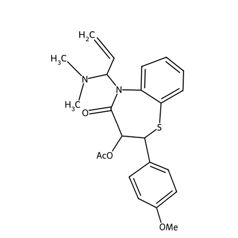 C=CC(N(C)C)N1C(=O)C(OC(C)=O)C(c2ccc(OC)cc2)Sc2ccccc21